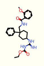 CCOC(=O)NC(=N)NC1CCC(CNC(=O)c2ccccc2OC)(c2ccccc2)CC1